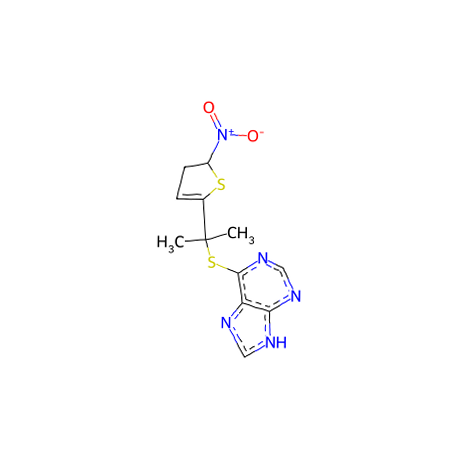 CC(C)(Sc1ncnc2[nH]cnc12)C1=CCC([N+](=O)[O-])S1